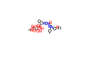 C=CCOC(=O)C1OC(OC(=O)c2cc(N3CCN(C(=O)c4cn(-c5cccc(OCC)c5)c(-c5ccc(C)cc5)n4)CC3)cc3ccccc23)C(O)C(O)C1O